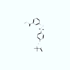 C=C1OB(c2ccc(S(=O)(=O)Nc3cccc(C(=O)NC)c3)cc2)OC1(C)C